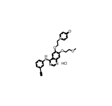 C#Cc1cccc(Nc2ncnc3cc(OCCOC)c(OCCn4ccc(=O)cc4)cc23)c1.Cl